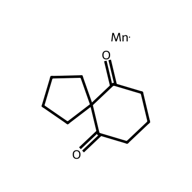 O=C1CCCC(=O)C12CCCC2.[Mn]